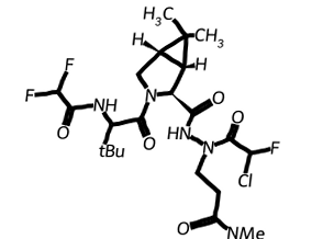 CNC(=O)CCN(NC(=O)[C@@H]1[C@@H]2[C@H](CN1C(=O)C(NC(=O)C(F)F)C(C)(C)C)C2(C)C)C(=O)C(F)Cl